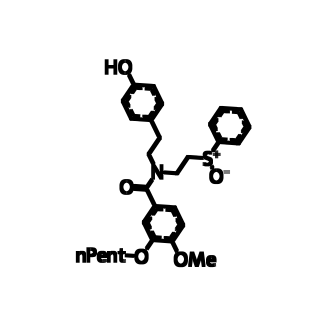 CCCCCOc1cc(C(=O)N(CCc2ccc(O)cc2)CC[S+]([O-])c2ccccc2)ccc1OC